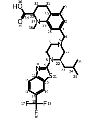 Cc1cc(CN2CCN(c3nc4ccc(C(F)(F)F)cc4s3)[C@H](CC(C)C)C2)cc2c1CCC(C(=O)O)N2C